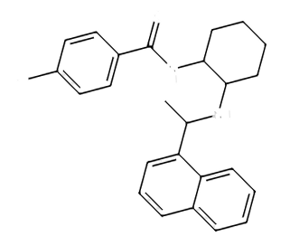 CC(NC1CCCCC1NC(=O)c1ccc(Cl)cc1)c1cccc2ccccc12